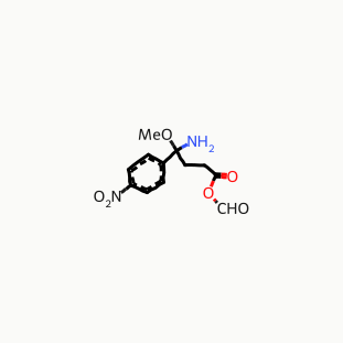 COC(N)(CCC(=O)OC=O)c1ccc([N+](=O)[O-])cc1